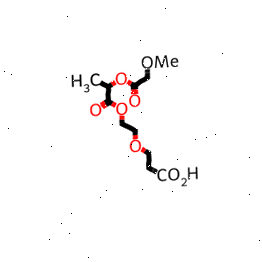 COCC(=O)OC(C)C(=O)OCCOCCC(=O)O